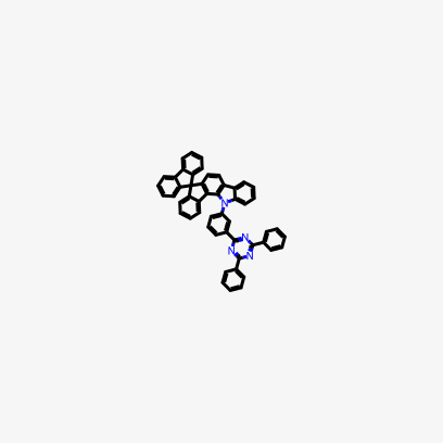 c1ccc(-c2nc(-c3ccccc3)nc(-c3cccc(-n4c5ccccc5c5ccc6c(c54)-c4ccccc4C64c5ccccc5-c5ccccc54)c3)n2)cc1